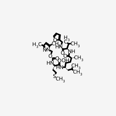 CSCC[C@H](NC(=O)OCn1nc(C)cc1C)C(=O)N[C@@H](CC(C)C)[C@@H](O)C[C@@H](C)C(=O)N[C@H](C(=O)NCc1ccco1)C(C)C